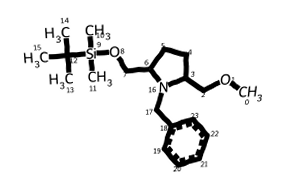 COCC1CCC(CO[Si](C)(C)C(C)(C)C)N1Cc1ccccc1